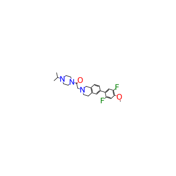 COc1cc(F)c(-c2ccc3c(c2)CCN(CC(=O)N2CCN(C(C)C)CC2)C3)cc1F